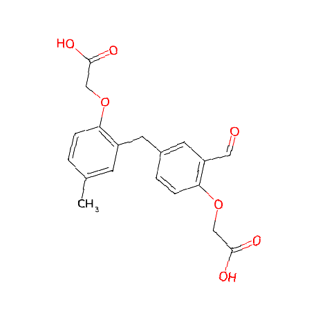 Cc1ccc(OCC(=O)O)c(Cc2ccc(OCC(=O)O)c(C=O)c2)c1